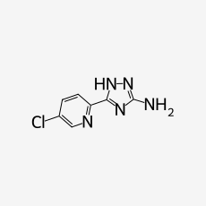 Nc1n[nH]c(-c2ccc(Cl)cn2)n1